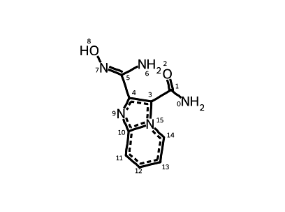 NC(=O)c1c(C(N)=NO)nc2ccccn12